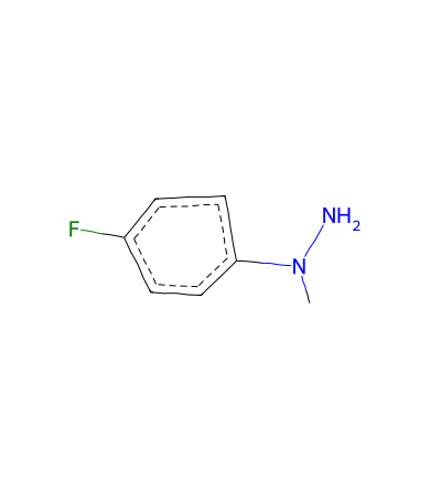 CN(N)c1ccc(F)cc1